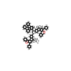 CC1(C)c2cc(C(CCc3ccc4c(c3)C(C)(C)c3cc(-c5ccccc5)c5oc6ccccc6c5c3-4)c3ccc4c(c3)C3(c5ccccc5-c5ccccc53)c3ccccc3-4)ccc2-c2c1cc(-c1ccccc1)c1c2-c2ccccc2CO1